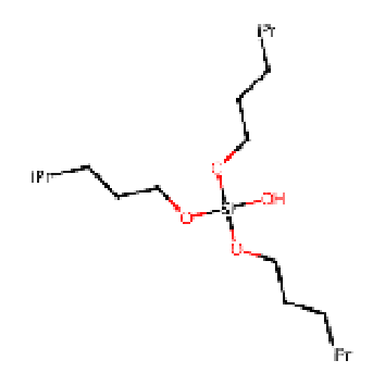 CC(C)CCCO[Si](O)(OCCCC(C)C)OCCCC(C)C